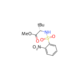 COC(=O)[C@@H](NS(=O)(=O)c1ccccc1[N+](=O)[O-])C(C)(C)C